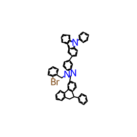 Brc1ccccc1Cn1c(-c2ccc3c(c2)-c2ccccc2CC3c2ccccc2)nc2cc(-c3ccc4c(c3)c3ccccc3n4-c3ccccc3)ccc21